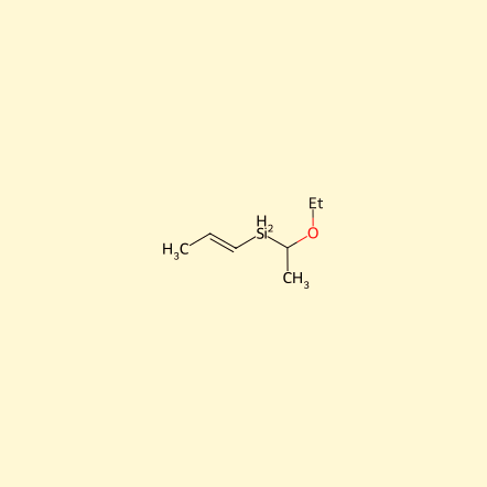 CC=C[SiH2]C(C)OCC